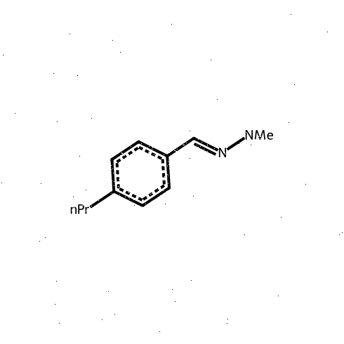 CCCc1ccc(/C=N/NC)cc1